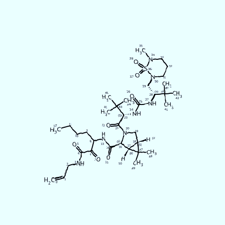 C=CCNC(=O)C(=O)C(CCCC)NC(=O)[C@@H]1[C@@H]2[C@H](CN1C(=O)[C@@H](NC(=O)N[C@H](CN1CCCN(C)S1(=O)=O)C(C)(C)C)C(C)(C)C)C2(C)C